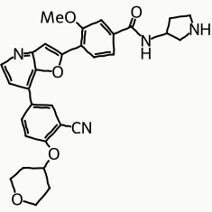 COc1cc(C(=O)NC2CCNC2)ccc1-c1cc2nccc(-c3ccc(OC4CCOCC4)c(C#N)c3)c2o1